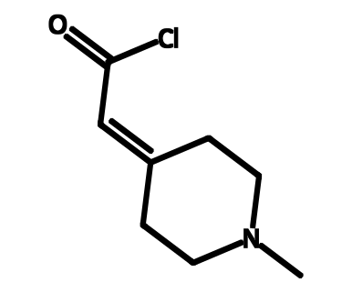 CN1CCC(=CC(=O)Cl)CC1